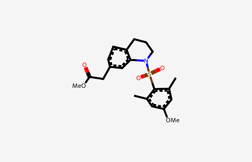 COC(=O)Cc1ccc2c(c1)N(S(=O)(=O)c1c(C)cc(OC)cc1C)CCC2